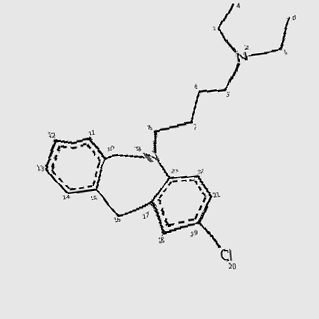 CCN(CC)CCCCN1c2ccccc2Cc2cc(Cl)ccc21